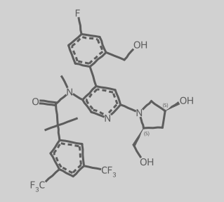 CN(C(=O)C(C)(C)c1cc(C(F)(F)F)cc(C(F)(F)F)c1)c1cnc(N2C[C@@H](O)C[C@H]2CO)cc1-c1ccc(F)cc1CO